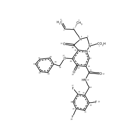 C=C[C@H](C)N1CN(C(=O)O)n2cc(C(=O)NCc3c(F)cc(F)cc3F)c(=O)c(OCc3ccccc3)c2C1=O